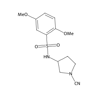 COc1ccc(OC)c(S(=O)(=O)NC2CCN(C#N)C2)c1